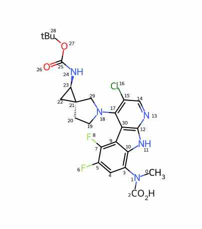 CN(C(=O)O)c1cc(F)c(F)c2c1[nH]c1ncc(Cl)c(N3CC[C@@]4(C[C@H]4NC(=O)OC(C)(C)C)C3)c12